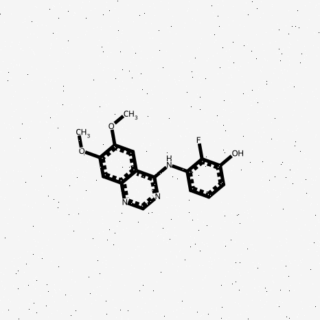 COc1cc2ncnc(Nc3cccc(O)c3F)c2cc1OC